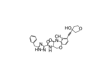 CN1C(=O)C(NC(=O)c2n[nH]c(Cc3ccccc3)n2)COc2ccc(C#CC3(O)CCOCC3)cc21